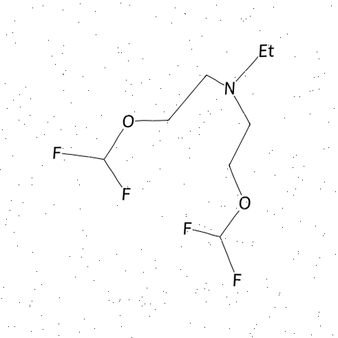 CCN(CCOC(F)F)CCOC(F)F